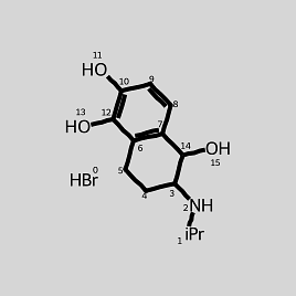 Br.CC(C)NC1CCc2c(ccc(O)c2O)C1O